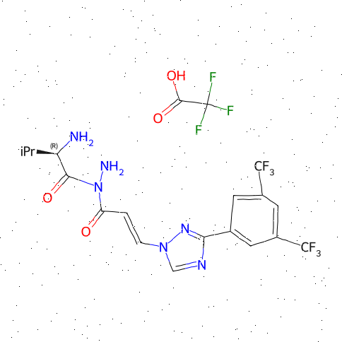 CC(C)[C@@H](N)C(=O)N(N)C(=O)C=Cn1cnc(-c2cc(C(F)(F)F)cc(C(F)(F)F)c2)n1.O=C(O)C(F)(F)F